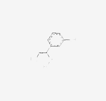 CCOC(CO)c1cccc(O)c1